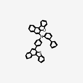 c1ccc(-c2cccc(N(c3ccc(-c4cc5ccccc5c5c4sc4ccccc45)cc3)c3cc4ccccc4c4c3oc3ccccc34)c2)cc1